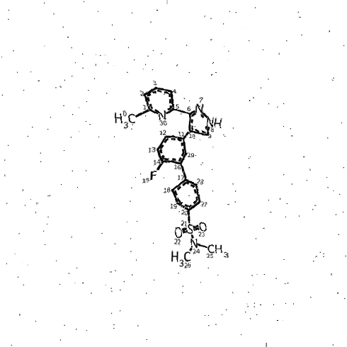 Cc1cccc(-c2n[nH]cc2-c2ccc(F)c(-c3ccc(S(=O)(=O)N(C)C)cc3)c2)n1